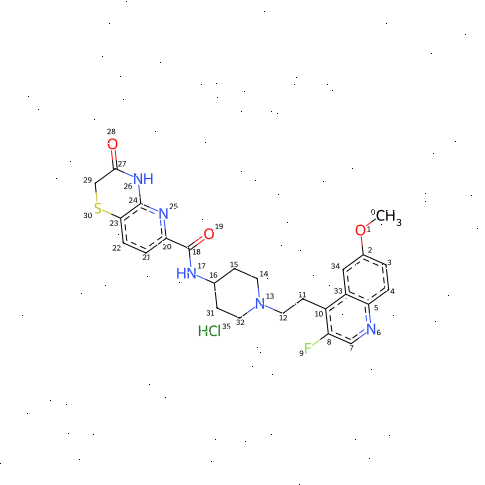 COc1ccc2ncc(F)c(CCN3CCC(NC(=O)c4ccc5c(n4)NC(=O)CS5)CC3)c2c1.Cl